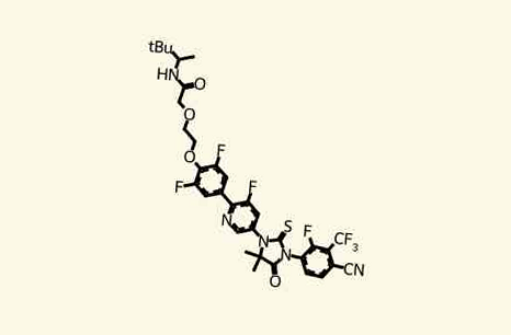 CC(NC(=O)COCCOc1c(F)cc(-c2ncc(N3C(=S)N(c4ccc(C#N)c(C(F)(F)F)c4F)C(=O)C3(C)C)cc2F)cc1F)C(C)(C)C